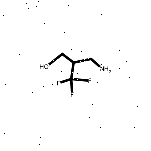 NCC(CO)C(F)(F)F